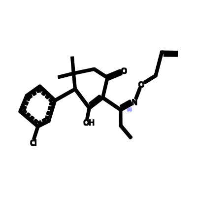 C=CCO/N=C(/CC)C1=C(O)C(c2cccc(Cl)c2)C(C)(C)CC1=O